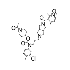 CC(=O)N1CCC(OC(=O)N(CCCN2CC3CN(C(=O)c4c(C)cc[n+]([O-])c4C)CC3C2)c2ccc(C)c(Cl)c2)CC1